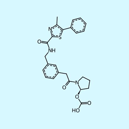 Cc1nc(C(=O)NCc2cccc(CC(=O)N3CCC[C@H]3OC(=O)O)c2)sc1-c1ccccc1